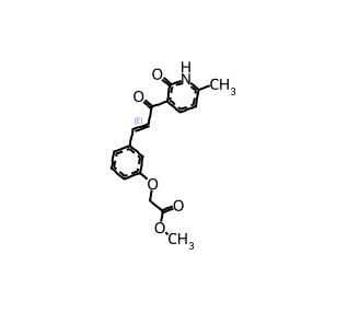 COC(=O)COc1cccc(/C=C/C(=O)c2ccc(C)[nH]c2=O)c1